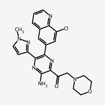 Cn1ccc(-c2nc(N)c(C(=O)CN3CCOCC3)nc2-c2cc(Cl)c3ncccc3c2)n1